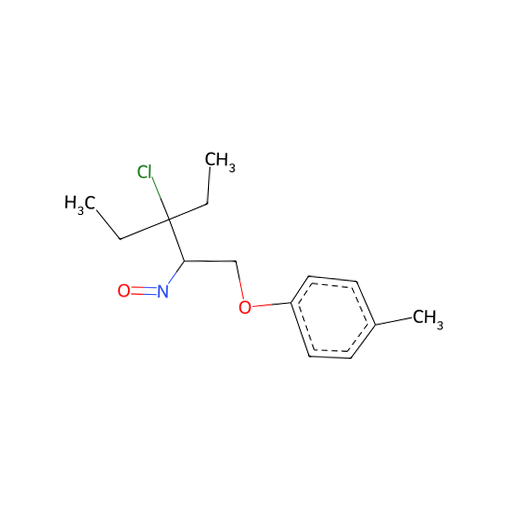 CCC(Cl)(CC)C(COc1ccc(C)cc1)N=O